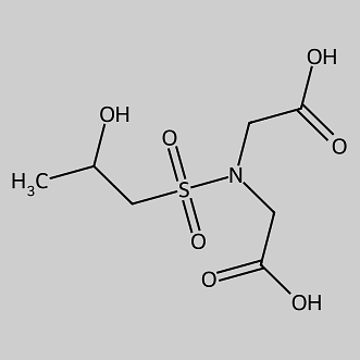 CC(O)CS(=O)(=O)N(CC(=O)O)CC(=O)O